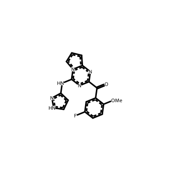 COc1ccc(F)cc1C(=O)c1nc(Nc2cc[nH]n2)n2cccc2n1